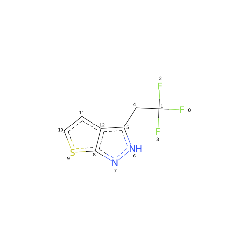 FC(F)(F)Cc1[nH]nc2s[c]cc12